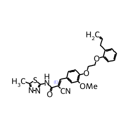 C=CCc1ccccc1OCCOc1ccc(/C=C(\C#N)C(=O)Nc2nnc(C)s2)cc1OC